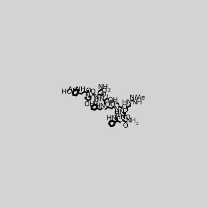 CNC(=N)NCCC[C@H](NC(=O)[C@H](CC(C)C)NC(=O)CCC[C@H](Cc1ccccc1)NC(=O)[C@@H](NC(=O)[C@H](CC(N)=O)NC(=O)[C@@H]1C[C@@H](O)CN1C(=O)[C@@H](Cc1ccc(O)cc1)NC(C)=O)[C@@H](C)O)C(=O)N[C@@H](Cc1c[nH]c2ccccc12)C(N)=O